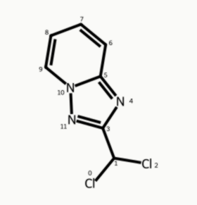 ClC(Cl)c1nc2ccccn2n1